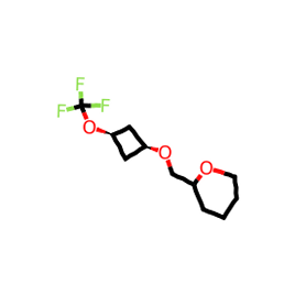 FC(F)(F)O[C@H]1C[C@@H](OCC2CCCCO2)C1